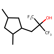 CC1CC(C)C(CC(O)(C(F)(F)F)C(F)(F)F)C1